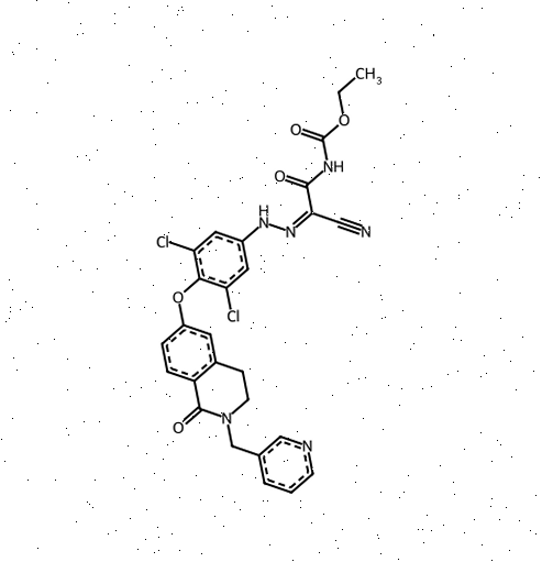 CCOC(=O)NC(=O)C(C#N)=NNc1cc(Cl)c(Oc2ccc3c(c2)CCN(Cc2cccnc2)C3=O)c(Cl)c1